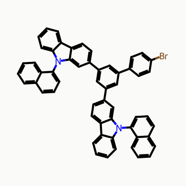 Brc1ccc(-c2cc(-c3ccc4c5ccccc5n(-c5cccc6ccccc56)c4c3)cc(-c3ccc4c5ccccc5n(-c5cccc6ccccc56)c4c3)c2)cc1